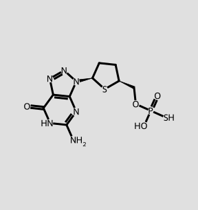 Nc1nc2c(nnn2[C@H]2CC[C@@H](COP(=O)(O)S)S2)c(=O)[nH]1